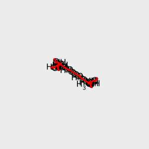 C[C@H](NC(=O)[C@H](CCCCNC(=O)OCc1ccccc1)NC(=O)OCc1ccccc1)C(=O)NCCCOCCOCCOCCCNC(=O)CCOCCOCCOCCOCCOCCC(=O)NCCCOCCOCCOCCCNC(=O)[C@H](CCCCNC(=O)OCc1ccccc1)NC(=O)[C@H](CCCCNC(=O)OCc1ccccc1)NC(=O)OCc1ccccc1